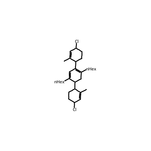 CCCCCCC1=CC(C2CCC(Cl)C=C2C)=C(CCCCCC)CC1C1CCC(Cl)C=C1C